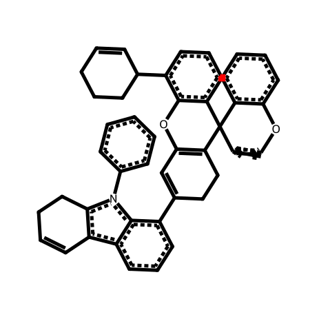 C1=CC(c2cccc3c2OC2=C(CCC(c4cccc5c6c(n(-c7ccccc7)c45)CCC=C6)=C2)C32c3ccccc3Oc3ccccc32)CCC1